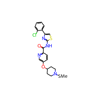 CSN1CCC(Oc2ccc(C(=O)Nc3nc(-c4ccccc4Cl)cs3)nc2)CC1